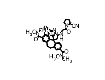 CC(C)c1nnc(C2(CCNCC(=O)N3CCC[C@H]3C#N)c3ccc(C(=O)N(C)C)cc3CCc3cc(C(=O)N(C)C)ccc32)[nH]1